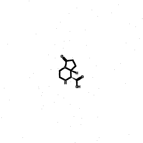 O=C(O)[C@@H]1NCCN2C(=O)CC[C@H]12